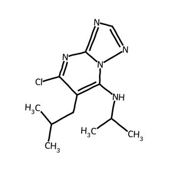 CC(C)Cc1c(Cl)nc2ncnn2c1NC(C)C